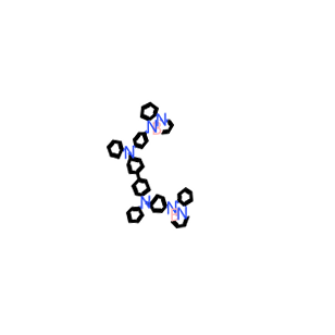 C1=CB2N(C=C1)c1ccccc1N2c1ccc(N(c2ccccc2)c2ccc(-c3ccc(N(c4ccccc4)c4ccc(N5B6C=CC=CN6c6ccccc65)cc4)cc3)cc2)cc1